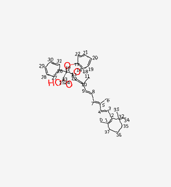 CC1=C(/C=C/C(C)=C/C=C/C(C)=C/C(=O)C(Oc2ccccc2)(C(=O)O)c2ccccc2)C(C)(C)CCC1